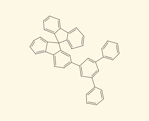 c1ccc(-c2cc(-c3ccccc3)cc(-c3ccc4c(c3)C3(c5ccccc5-c5ccccc53)c3ccccc3-4)c2)cc1